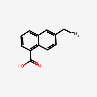 CCc1ccc2c(C(=O)O)cccc2c1